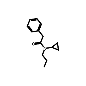 CCCN(C(=O)Cc1ccccc1)C1CC1